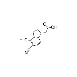 Cc1c(C#N)ccc2c1CCC2CC(=O)O